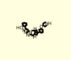 Nc1nnc(-c2ccccc2O)cc1N1CC[C@@H]2CC3(c4cccc(OC5CCNCC5)c4)C[C@H](C1)C23